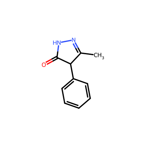 CC1=NNC(=O)C1c1ccccc1